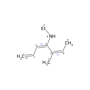 C=C/C=C(NCC)\C(C)=C/C